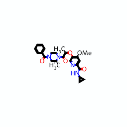 COc1cc(C(=O)NC2CC2)ncc1O[C@@H](C)C(=O)N1CCN(C(=O)c2ccccc2)C[C@H]1C